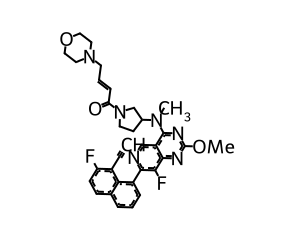 C#Cc1c(F)ccc2cccc(-c3ncc4c(N(C)C5CCN(C(=O)/C=C/CN6CCOCC6)C5)nc(OC)nc4c3F)c12